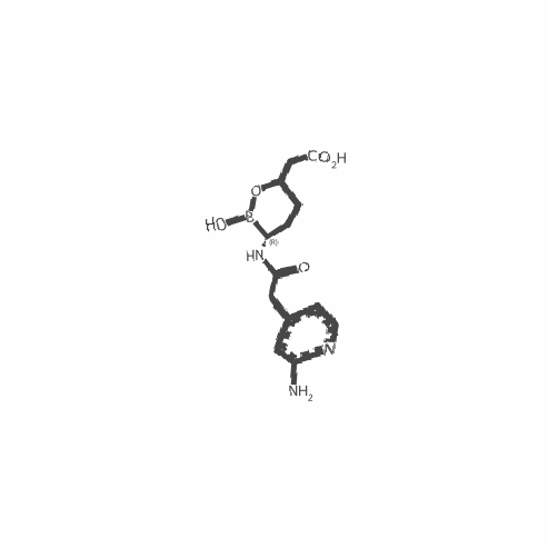 Nc1cc(CC(=O)N[C@H]2CCC(CC(=O)O)OB2O)ccn1